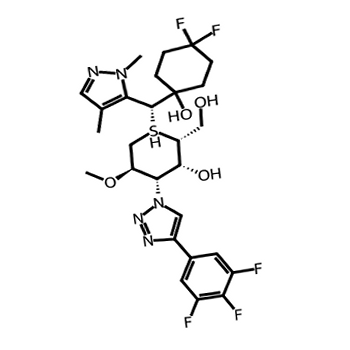 CO[C@H]1C[SH]([C@H](c2c(C)cnn2C)C2(O)CCC(F)(F)CC2)[C@H](CO)[C@H](O)[C@@H]1n1cc(-c2cc(F)c(F)c(F)c2)nn1